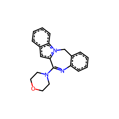 c1ccc2c(c1)Cn1c(cc3ccccc31)C(N1CCOCC1)=N2